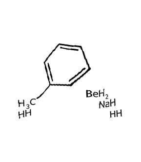 Cc1ccccc1.[BeH2].[HH].[HH].[NaH]